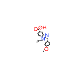 CCOc1ccc(Cc2nc3cc(C(=O)O)ccc3n2CC2CC2)cc1